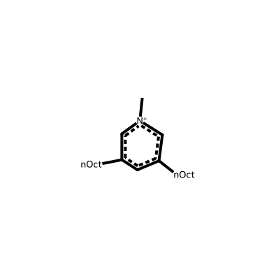 CCCCCCCCc1cc(CCCCCCCC)c[n+](C)c1